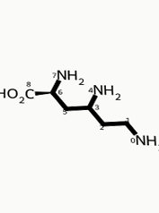 NCCC(N)C[C@H](N)C(=O)O